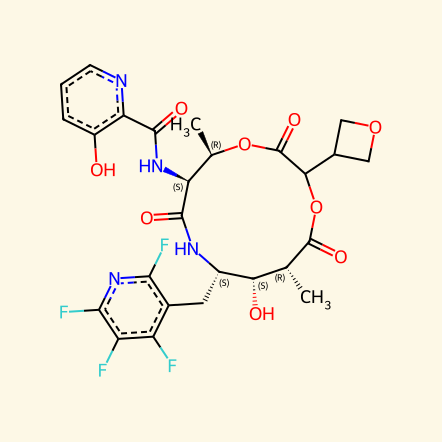 C[C@H]1OC(=O)C(C2COC2)OC(=O)[C@H](C)[C@H](O)[C@H](Cc2c(F)nc(F)c(F)c2F)NC(=O)[C@H]1NC(=O)c1ncccc1O